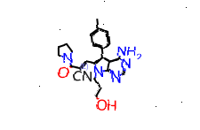 Cc1ccc(-c2c(/C=C(\C#N)C(=O)N3CCCC3)n(CCCO)c3ncnc(N)c23)cc1